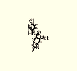 CCOc1cc2nc(C)cn2cc1C(=O)Nc1ccc(Cl)nn1